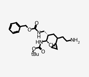 C[C@@H](NC(=O)OC(C)(C)C)[C@H](CNC(=O)OCc1ccccc1)CC(CCN)C1CC1